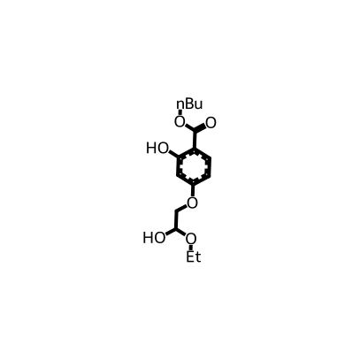 CCCCOC(=O)c1ccc(OCC(O)OCC)cc1O